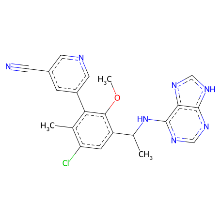 COc1c(C(C)Nc2ncnc3[nH]cnc23)cc(Cl)c(C)c1-c1cncc(C#N)c1